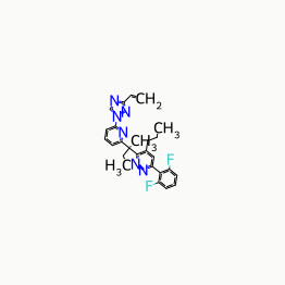 C=Cc1ncn(-c2cccc([C@](C)(CC)c3nnc(-c4c(F)cccc4F)cc3CCC)n2)n1